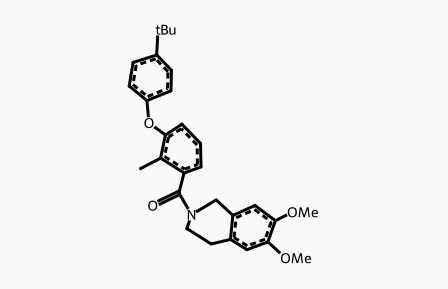 COc1cc2c(cc1OC)CN(C(=O)c1cccc(Oc3ccc(C(C)(C)C)cc3)c1C)CC2